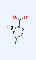 O=C([O-])c1ccc(Cl)cc1.[Hg+]